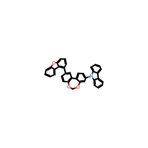 c1ccc2c(c1)oc1cccc(-c3ccc4c(c3)-c3ccc(-n5c6ccccc6c6ccccc65)cc3OCO4)c12